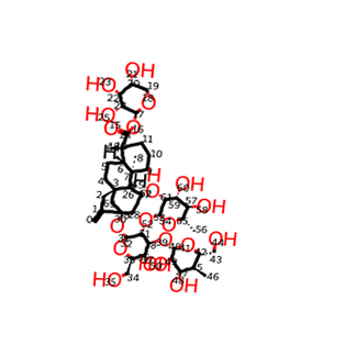 C=C1C[C@@]23CC[C@H]4[C@@](C)(CCC[C@@]4(C)C(=O)O[C@@H]4OC[C@@H](O)[C@H](O)[C@H]4O)[C@@H]2CC[C@]1(O[C@@H]1O[C@H](CO)[C@@H](O)[C@H](O[C@@H]2O[C@H](CO)[C@@H](C)[C@H](O)[C@H]2O)[C@H]1O[C@@H]1O[C@@H](C)[C@H](O)[C@@H](O)[C@H]1O)C3